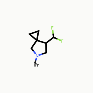 CC(C)N1CC(C(F)F)C2(CC2)C1